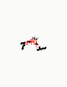 CCCCC(CC)COCCOP(=O)([O-])OCCOCC(CC)CCCC.[Na+]